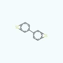 c1cc2c(cc1-c1ccc3c(c1)S3)S2